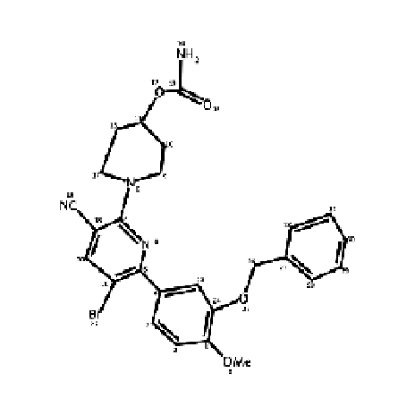 COc1ccc(-c2nc(N3CCC(OC(N)=O)CC3)c(C#N)cc2Br)cc1OCc1ccccc1